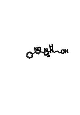 OCCCNc1nc(-c2cc(-c3ccccc3)no2)cs1